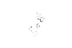 O=C(CN1CCN(c2cccc3c2cnn3-c2ccccc2F)C1=O)N[C@@H]1CCC[C@H]1OCc1ccccc1